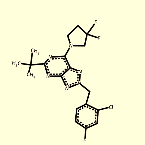 CC(C)(C)c1nc(N2CCC(F)(F)C2)c2nn(Cc3ccc(F)cc3Cl)nc2n1